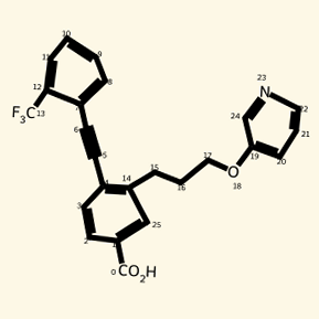 O=C(O)c1ccc(C#Cc2ccccc2C(F)(F)F)c(CCCOc2cccnc2)c1